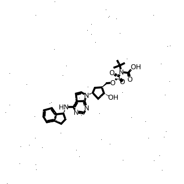 CC(C)(C)N(C(=O)O)S(=O)(=O)OC[C@@H]1C[C@@H](n2ccc3c(N[C@@H]4CCc5ccccc54)ncnc32)C[C@H]1O